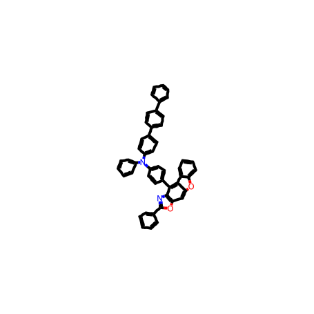 c1ccc(-c2ccc(-c3ccc(N(c4ccccc4)c4ccc(-c5c6nc(-c7ccccc7)oc6cc6oc7ccccc7c56)cc4)cc3)cc2)cc1